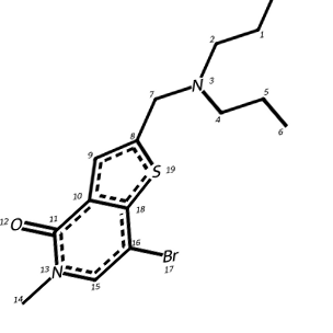 CCCN(CCC)Cc1cc2c(=O)n(C)cc(Br)c2s1